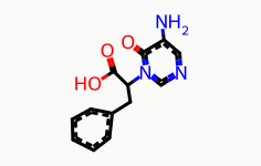 Nc1cncn(C(Cc2ccccc2)C(=O)O)c1=O